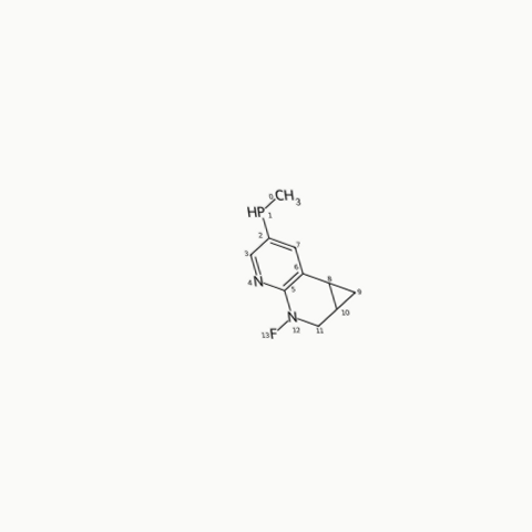 CPc1cnc2c(c1)C1CC1CN2F